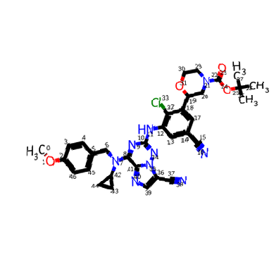 COc1ccc(CN(c2nc(Nc3cc(C#N)cc(C4CN(C(=O)OC(C)(C)C)CCO4)c3Cl)nn3c(C#N)cnc23)C2CC2)cc1